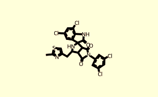 Cc1nc(CC2NC3(C(=O)Nc4c(Cl)cc(Cl)cc43)C3C(=O)N(c4cc(Cl)cc(Cl)c4)C(=O)C23)cs1